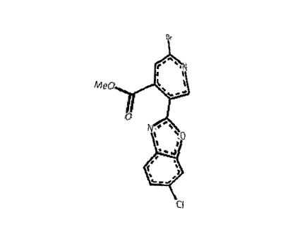 COC(=O)c1cc(Br)ncc1-c1nc2ccc(Cl)cc2o1